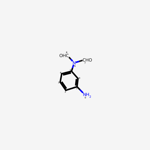 Nc1cccc(N(C=O)C=O)c1